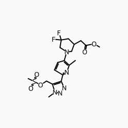 COC(=O)CC1CN(c2ccc(-c3nnn(C)c3COS(C)(=O)=O)nc2C)CC(F)(F)C1